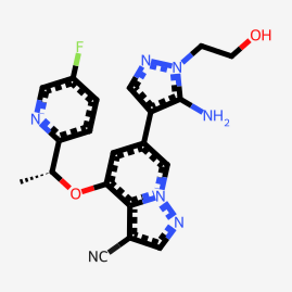 C[C@@H](Oc1cc(-c2cnn(CCO)c2N)cn2ncc(C#N)c12)c1ccc(F)cn1